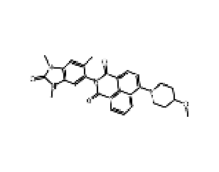 COC1CCN(c2ccc3c4c(cccc24)C(=O)N(c2cc4c(cc2C)n(C)c(=O)n4C)C3=O)CC1